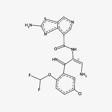 N=C(/C(=C\N)NC(=O)c1cncc2sc(N)nc12)c1cc(Cl)ccc1OC(F)F